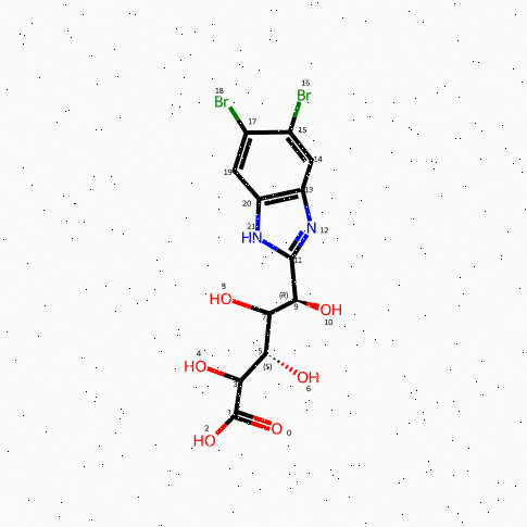 O=C(O)C(O)[C@@H](O)C(O)[C@H](O)c1nc2cc(Br)c(Br)cc2[nH]1